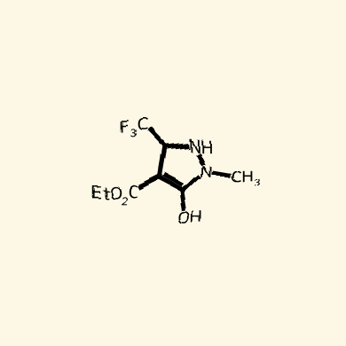 CCOC(=O)C1=C(O)N(C)NC1C(F)(F)F